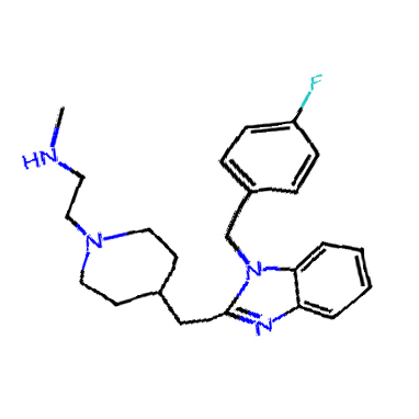 CNCCN1CCC(Cc2nc3ccccc3n2Cc2ccc(F)cc2)CC1